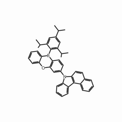 CC(C)c1cc(C(C)C)c(B2c3ccccc3Oc3cc(-n4c5ccccc5c5c6ccccc6ccc54)ccc32)c(C(C)C)c1